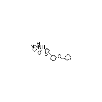 O=C(N[C@H]1CN2CCC1CC2)c1ccc(-c2cccc(OCc3ccccc3)c2)s1